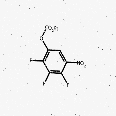 CCOC(=O)Oc1cc([N+](=O)[O-])c(F)c(F)c1F